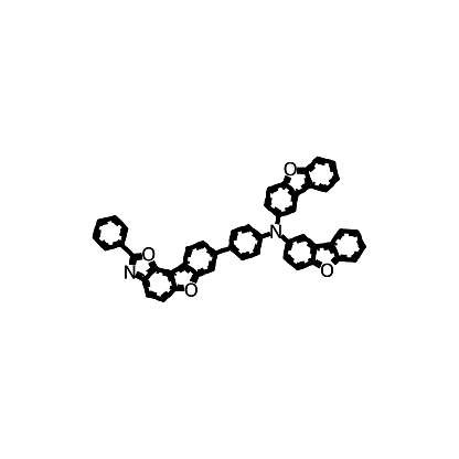 c1ccc(-c2nc3ccc4oc5cc(-c6ccc(N(c7ccc8oc9ccccc9c8c7)c7ccc8oc9ccccc9c8c7)cc6)ccc5c4c3o2)cc1